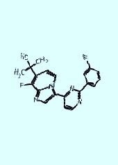 CC(C)(O)c1ccn2c(-c3ccnc(-c4cccc(F)c4)n3)cnc2c1F